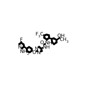 CC(O)c1cccc(-c2ccc(C(F)(F)F)cc2NC(=O)Nc2cnc(Oc3ccc(-c4cc(F)cnc4N)cc3)nc2)c1